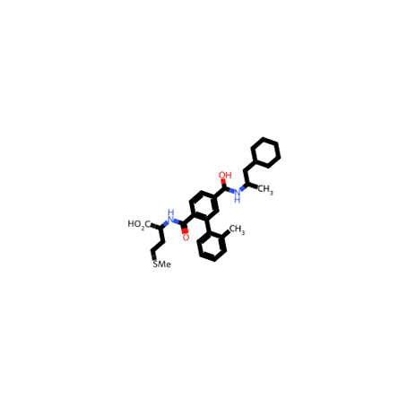 CSCCC(NC(=O)c1ccc(C(O)NC(C)CC2CCCCC2)cc1-c1ccccc1C)C(=O)O